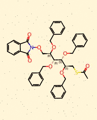 CC(=O)SC[C@@H](OCc1ccccc1)[C@@H](OCc1ccccc1)[C@H](OCc1ccccc1)[C@@H](CON1C(=O)c2ccccc2C1=O)OCc1ccccc1